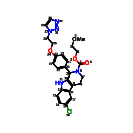 COCCOC(=O)N1CCc2c([nH]c3ccc(Cl)cc23)C1c1ccc(OCCn2ccnn2)cc1